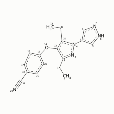 CCc1nn(-c2cn[nH]c2)c(CC)c1Oc1ccc(C#N)cc1